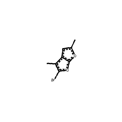 Cc1cc2c(C)c(Br)oc2o1